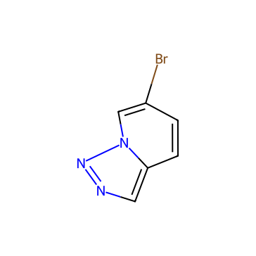 Brc1ccc2cnnn2c1